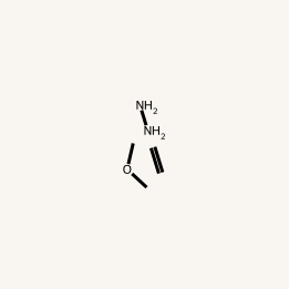 C=C.COC.NN